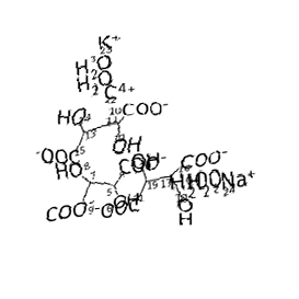 O.O.O.O.O=C([O-])C(O)C(O)C(=O)[O-].O=C([O-])C(O)C(O)C(=O)[O-].O=C([O-])C(O)C(O)C(=O)[O-].[C+4].[K+].[Na+]